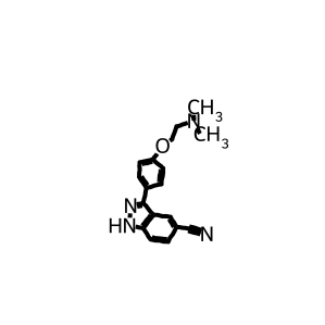 CN(C)CCOc1ccc(-c2n[nH]c3ccc(C#N)cc23)cc1